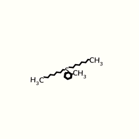 CCCCCCCCSCCCCCCCC.Cc1ccccc1